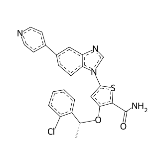 C[C@@H](Oc1cc(-n2cnc3cc(-c4ccncc4)ccc32)sc1C(N)=O)c1ccccc1Cl